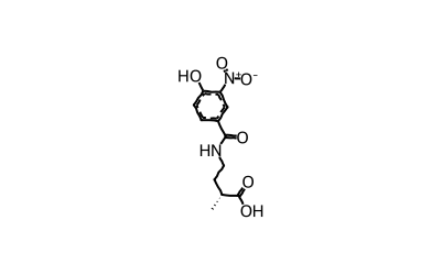 C[C@H](CCNC(=O)c1ccc(O)c([N+](=O)[O-])c1)C(=O)O